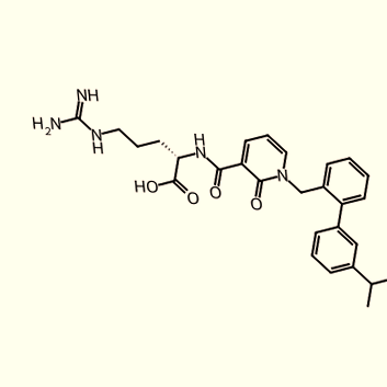 CC(C)c1cccc(-c2ccccc2Cn2cccc(C(=O)N[C@@H](CCCNC(=N)N)C(=O)O)c2=O)c1